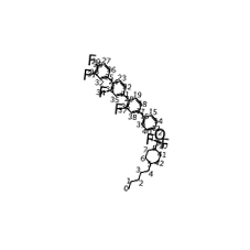 CCCCCC1CCC(C(F)(F)Oc2ccc(-c3ccc(-c4ccc(-c5ccc(F)c(F)c5)c(F)c4)c(F)c3)cc2)CC1